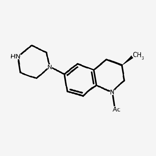 CC(=O)N1C[C@H](C)Cc2cc(N3CCNCC3)ccc21